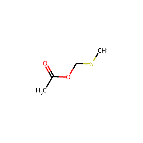 [CH]SCOC(C)=O